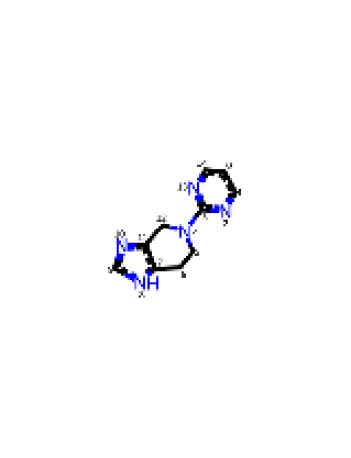 c1cnc(N2CCc3[nH]cnc3C2)nc1